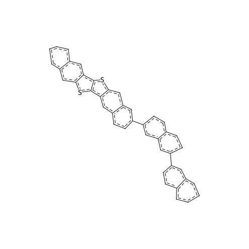 c1ccc2cc(-c3ccc4ccc(-c5ccc6cc7c(cc6c5)sc5c6cc8ccccc8cc6sc75)cc4c3)ccc2c1